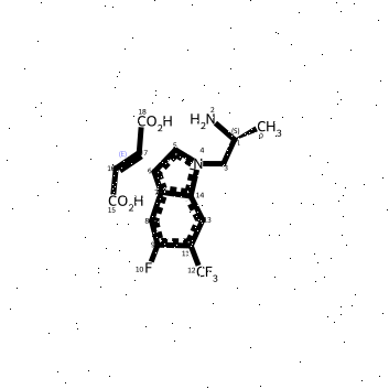 C[C@H](N)Cn1ccc2cc(F)c(C(F)(F)F)cc21.O=C(O)/C=C/C(=O)O